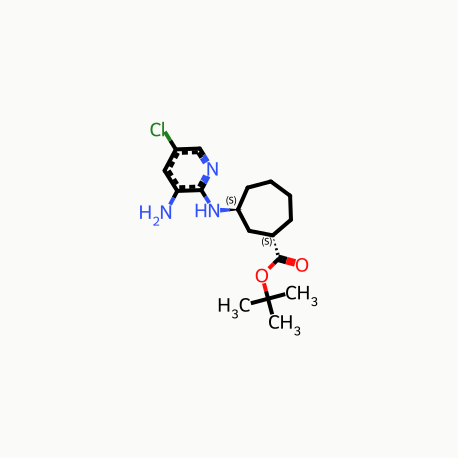 CC(C)(C)OC(=O)[C@H]1CCCC[C@H](Nc2ncc(Cl)cc2N)C1